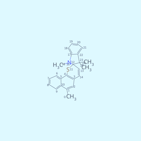 Cc1cc2c(c3ccccc13)SC1(C=C2)N(C)c2ccccc2C1(C)C